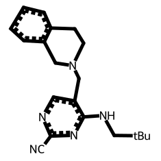 CC(C)(C)CNc1nc(C#N)ncc1CN1CCc2ccccc2C1